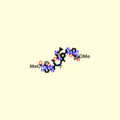 C=C1/C=C(c2cnc([C@@H]3CCCN3C(=O)[C@@H](NC(=O)OC)C(C)C)[nH]2)\C=C(\F)Cc2c(C)c3cc(-c4cnc([C@@H]5CCCN5C(=O)[C@@H](NC(=O)OC)C(C)C)[nH]4)ccc3n2C(c2cnc(C3CC3)s2)O1